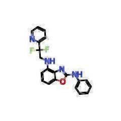 FC(F)(CNc1cccc2oc(Nc3ccccc3)nc12)c1ccccn1